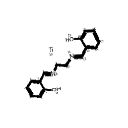 Oc1ccccc1/C=N/CC/N=C/c1ccccc1O.[Ti]